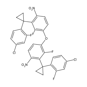 O=[N+]([O-])c1ccc(Oc2ccc([N+](=O)[O-])c(C3(c4ccc(Cl)cc4F)CC3)c2F)c(F)c1C1(c2ccc(Cl)cc2F)CC1